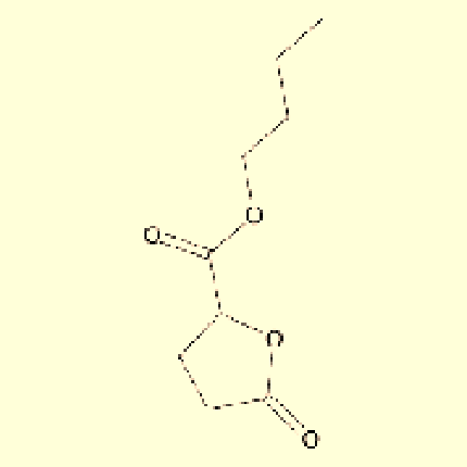 CCCCOC(=O)C1CCC(=O)O1